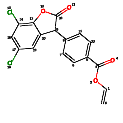 C=COC(=O)c1ccc(C2C(=O)Oc3c(Cl)cc(Cl)cc32)cc1